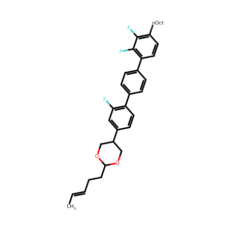 C/C=C/CCC1OCC(c2ccc(-c3ccc(-c4ccc(CCCCCCCC)c(F)c4F)cc3)c(F)c2)CO1